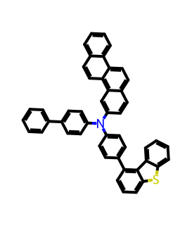 c1ccc(-c2ccc(N(c3ccc(-c4cccc5sc6ccccc6c45)cc3)c3ccc4ccc5c6ccccc6ccc5c4c3)cc2)cc1